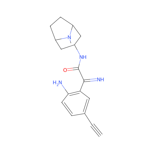 C#Cc1ccc(N)c(C(=N)C(=O)NC2CC3CCC(C2)N3C)c1